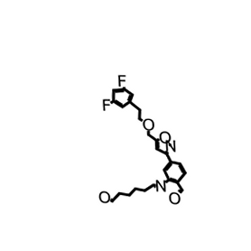 O=CCCCC/C=N/c1cc(-c2cc(COCCc3cc(F)cc(F)c3)on2)ccc1C=O